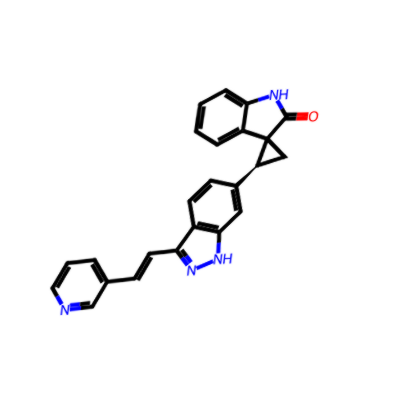 O=C1Nc2ccccc2C12C[C@H]2c1ccc2c(/C=C/c3cccnc3)n[nH]c2c1